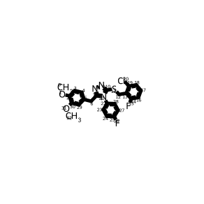 COc1ccc(Cc2nnc(SCc3c(F)cccc3Cl)n2-c2ccc(F)cc2)cc1OC